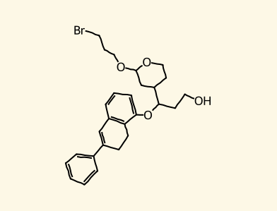 OCCC(Oc1cccc2c1CCC(c1ccccc1)=C2)C1CCOC(OCCCBr)C1